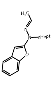 C/C=N/N(CCCCCCC)c1cc2ccccc2o1